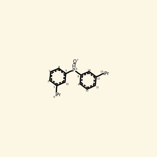 CC(C)c1cccc([PH](=O)c2cccc(C(C)C)c2)c1